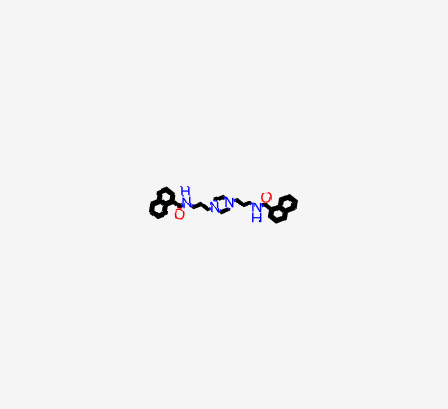 O=C(NCCCN1CCN(CCCNC(=O)c2cccc3ccccc23)CC1)c1cccc2ccccc12